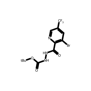 CC(C)(C)OC(=O)NNC(=O)c1ncc(C(F)(F)F)cc1Br